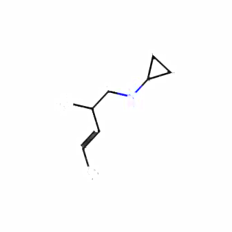 CC(C=CC#N)CNC1CC1